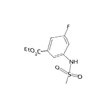 CCOC(=O)c1cc(F)cc(NS(C)(=O)=O)c1